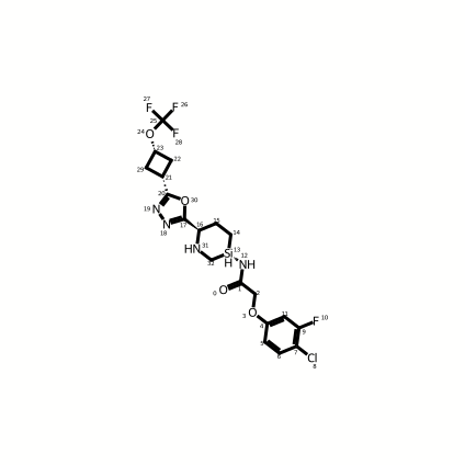 O=C(COc1ccc(Cl)c(F)c1)N[Si@H]1CC[C@H](c2nnc([C@H]3C[C@@H](OC(F)(F)F)C3)o2)NC1